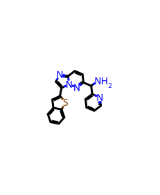 NC(c1ccccn1)c1ccc2ncc(-c3cc4ccccc4s3)n2n1